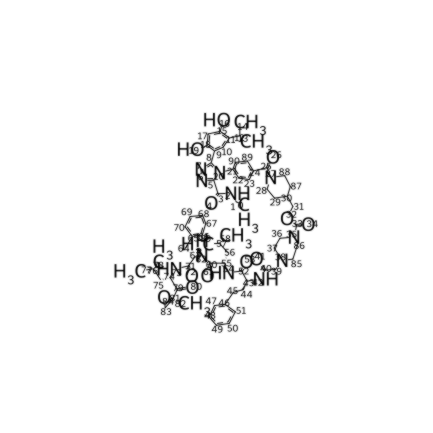 CCNC(=O)c1nnc(-c2cc(C(C)C)c(O)cc2O)n1-c1ccc(C(=O)N2CCC(COC(=O)N3CCN(CC(=O)N[C@@H](CCc4ccccc4)C(=O)N[C@@H](CC(C)C)C(=O)N[C@@H](Cc4ccccc4)C(=O)N[C@@H](CC(C)C)C(=O)[C@@]4(C)CO4)CC3)CC2)cc1